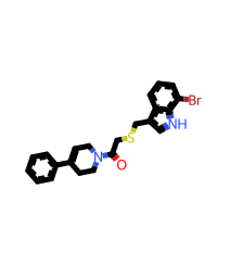 O=C(CSCc1c[nH]c2c(Br)cccc12)N1CC=C(c2ccccc2)CC1